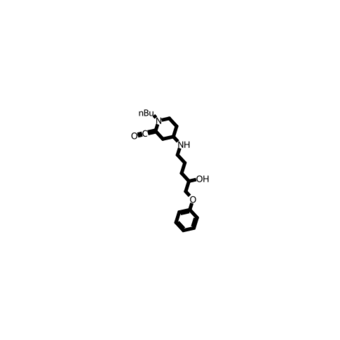 CCCCN1CCC(NCCCC(O)COc2ccccc2)CC1=C=O